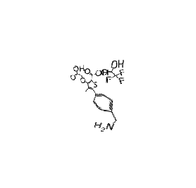 Cc1c(-c2ccc(CN)cc2)sc(C(=O)O)c1OCC(=O)O.O=C(O)C(F)(F)F